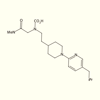 CNC(=O)CN(CCC1CCN(c2ccc(CC(C)C)cn2)CC1)C(=O)O